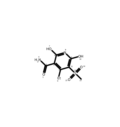 CCc1c(C(N)=O)c(O)nc(O)c1S(C)(=O)=O